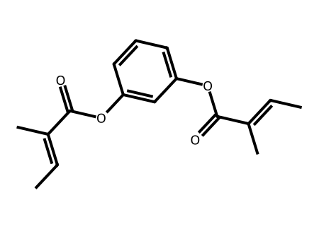 CC=C(C)C(=O)Oc1cccc(OC(=O)C(C)=CC)c1